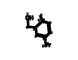 CC(C)C1=CC(CO)N(C)C=C1